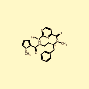 CC(C)Oc1nccc(C(=O)N(C)[C@H](CCNC(=O)c2cccn2C)Cc2ccccc2)n1